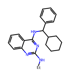 CCNc1nc(NC(c2ccccc2)C2CCCCC2)c2ccccc2n1